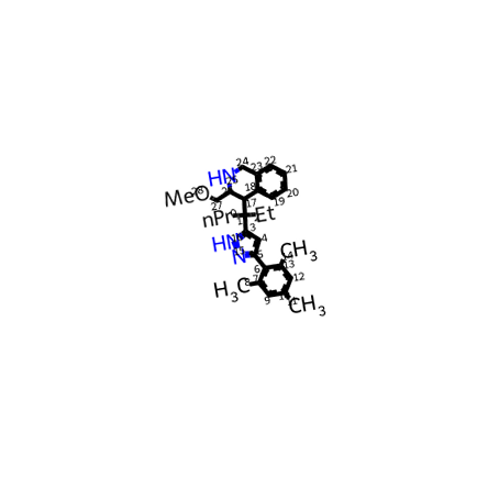 CCCC(CC)(c1cc(-c2c(C)cc(C)cc2C)n[nH]1)C1c2ccccc2CNC1COC